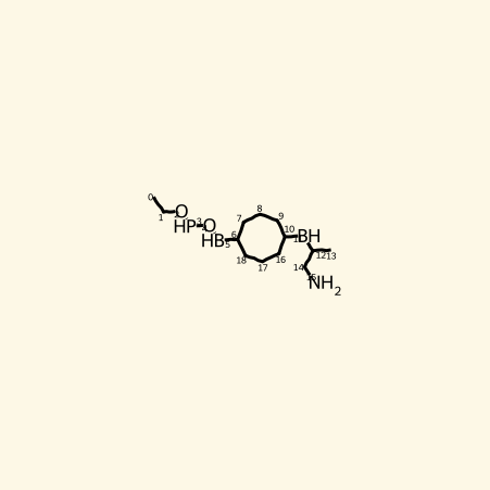 CCOPOBC1CCCC(BC(C)CN)CCC1